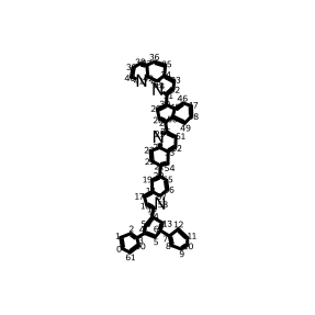 c1ccc(-c2cc(-c3ccccc3)cc(-c3ccc4cc(-c5ccc6nc(-c7ccc(-c8ccc9ccc%10cccnc%10c9n8)c8ccccc78)ccc6c5)ccc4n3)c2)cc1